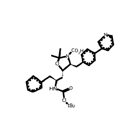 CC(C)(C)OC(=O)N[C@@H](Cc1ccccc1)C[C@@H]1OC(C)(C)N(C(=O)O)[C@H]1Cc1ccc(-c2cccnc2)cc1